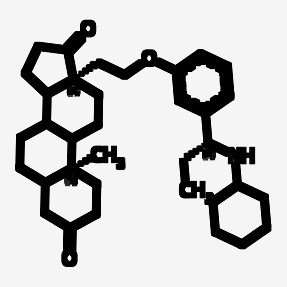 CC[C@@H](NC1CCCCC1)c1cccc(OCC[C@]23CCC4C(CCC5CC(=O)CC[C@@]54C)C2CCC3=O)c1